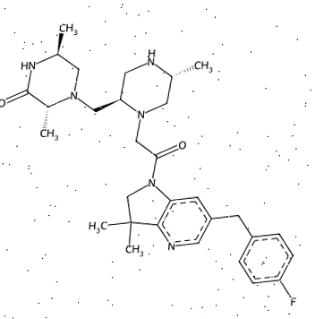 C[C@@H]1CN(CC(=O)N2CC(C)(C)c3ncc(Cc4ccc(F)cc4)cc32)[C@@H](CN2C[C@H](C)NC(=O)[C@H]2C)CN1